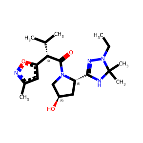 CCN1N=C([C@@H]2C[C@@H](O)CN2C(=O)[C@H](c2cc(C)no2)C(C)C)NC1(C)C